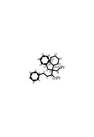 CCC[C](CCc1ccccc1)C(Cc1ccccc1)(CC(C)C)C1CCCCC1